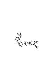 N#Cc1cc(N2CCN(c3ncn(Cn4ccc(C(F)(F)F)n4)n3)CC2)ccc1Cl